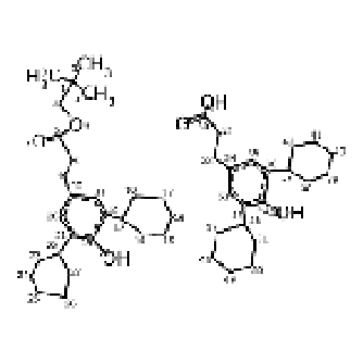 CC(C)(C)COC(=O)CCc1cc(C2CCCCC2)c(O)c(C2CCCCC2)c1.O=C(O)CCc1cc(C2CCCCC2)c(O)c(C2CCCCC2)c1